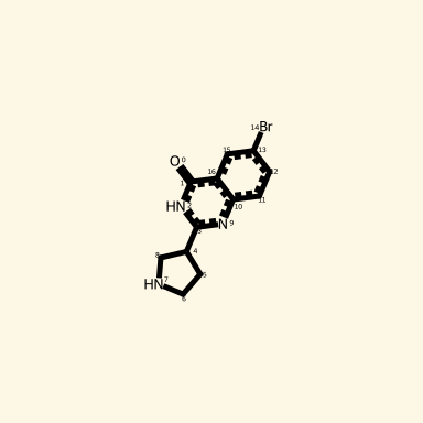 O=c1[nH]c(C2CCNC2)nc2ccc(Br)cc12